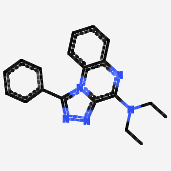 CCN(CC)c1nc2ccccc2n2c(-c3ccccc3)nnc12